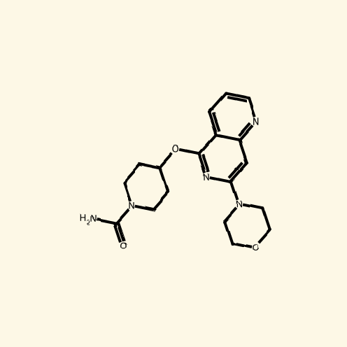 NC(=O)N1CCC(Oc2nc(N3CCOCC3)cc3ncccc23)CC1